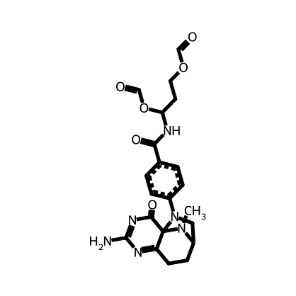 CN1C2CCC3=NC(N)=NC(=O)C31N(c1ccc(C(=O)NC(CCOC=O)OC=O)cc1)C2